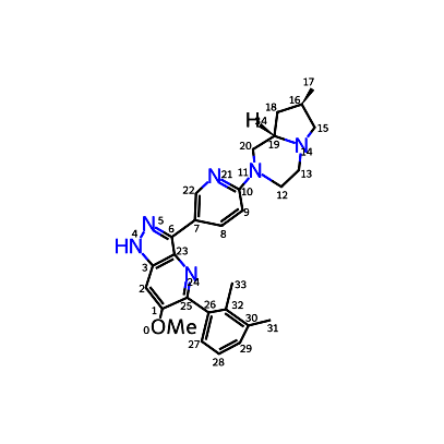 COc1cc2[nH]nc(-c3ccc(N4CCN5C[C@H](C)C[C@H]5C4)nc3)c2nc1-c1cccc(C)c1C